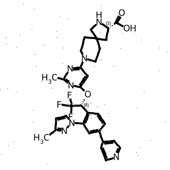 Cc1ccn(-c2cc(-c3ccncc3)ccc2[C@@H](Oc2cc(N3CCC4(CC3)CN[C@H](C(=O)O)C4)nc(C)n2)C(F)(F)F)n1